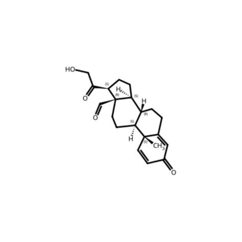 C[C@]12C=CC(=O)C=C1CC[C@H]1[C@@H]3CC[C@H](C(=O)CO)[C@@]3(C=O)CC[C@@H]12